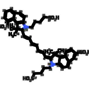 CC1(C)\C(=C/C=C/C=C/C=C/C2N(CCCCS(=O)(=O)O)c3ccc4cccc(S(=O)(=O)O)c4c3C2(C)C)N(CCCCS(=O)(=O)O)c2ccc3cc(S(=O)(=O)O)ccc3c21